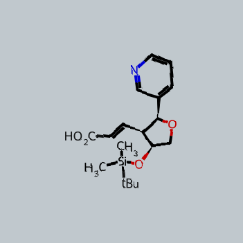 CC(C)(C)[Si](C)(C)O[C@@H]1CO[C@H](c2cccnc2)[C@@H]1C=CC(=O)O